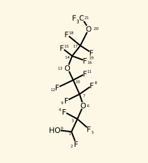 OC(F)C(F)(F)OC(F)(F)C(F)(F)OC(F)(F)C(F)(F)OC(F)(F)F